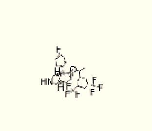 CC(O[C@H]1CC[C@@H]2CNC[C@H]2[C@@H]1c1ccc(F)cc1)c1cc(C(F)(F)F)cc(C(F)(F)F)c1